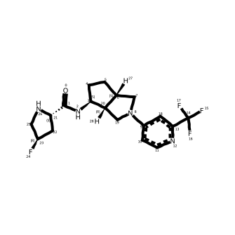 O=C(N[C@H]1CC[C@@H]2CN(c3ccnc(C(F)(F)F)c3)C[C@@H]21)[C@@H]1C[C@@H](F)CN1